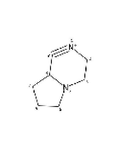 C1#[N+]CCN2CCCC12